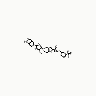 CC[C@@H](NC(=O)c1ccc2[nH]ncc2c1)C(=O)N1CCc2sc(C(=O)NCc3cncc(C(F)(F)F)c3)cc2C1